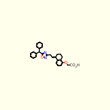 O=C(O)COc1cccc2c1CCCC2=CCc1noc(C(c2ccccc2)c2ccccc2)n1